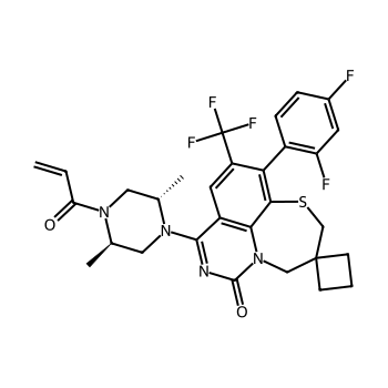 C=CC(=O)N1C[C@H](C)N(c2nc(=O)n3c4c(c(-c5ccc(F)cc5F)c(C(F)(F)F)cc24)SCC2(CCC2)C3)C[C@H]1C